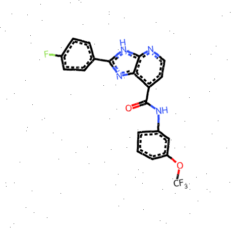 O=C(Nc1cccc(OC(F)(F)F)c1)c1ccnc2[nH]c(-c3ccc(F)cc3)nc12